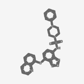 O=S(=O)(Nc1ccc(Oc2cccc3cccnc23)c2nonc12)N1CCN(c2ccccc2)CC1